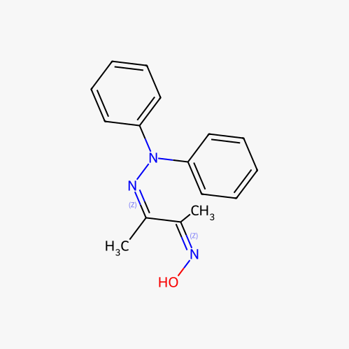 CC(=N/O)/C(C)=N\N(c1ccccc1)c1ccccc1